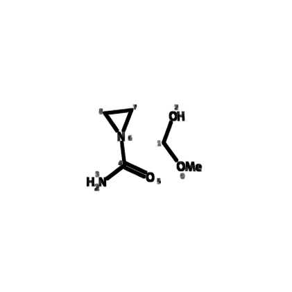 COCO.NC(=O)N1CC1